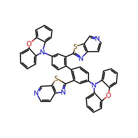 c1ccc2c(c1)Oc1ccccc1N2c1ccc(-c2ccc(N3c4ccccc4Oc4ccccc43)cc2-c2nc3ccncc3s2)c(-c2nc3ccncc3s2)c1